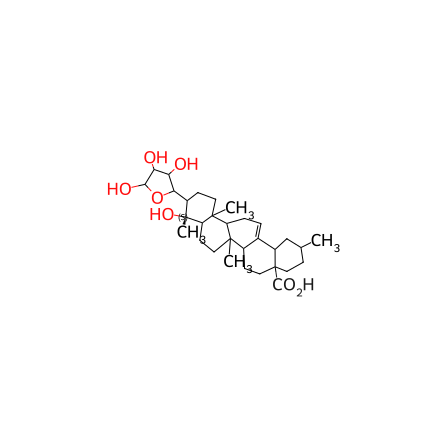 CC1CCC2(C(=O)O)CCC3C(=CCC4C3(C)CCC3C4(C)CCC(C4OC(O)C(O)C4O)[C@@]3(C)O)C2C1